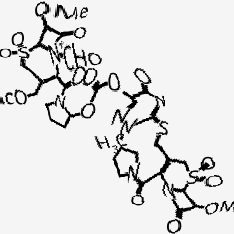 COC1C(=O)N2C(C(=O)N3CCCC3)=C(CSc3nc(=O)c(OC(=O)OC4CCCN4C(=O)C4=C(COC(C)=O)CS(=O)(=O)C5C(OC)C(=O)[N+]45C=O)nn3C)CS(=O)(=O)C12